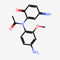 COc1cc(N)ccc1N(C(C)=O)C1=CC(=N)C=CC1=O